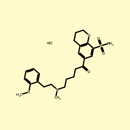 COc1ccccc1CCN(C)CCCCC(=O)c1cc2c(c(S(N)(=O)=O)c1)OCCC2.Cl